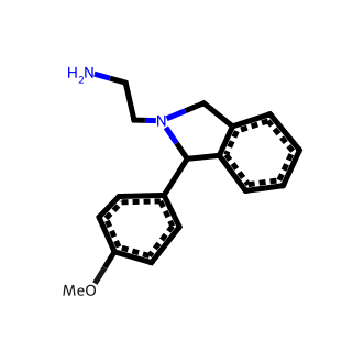 COc1ccc(C2c3ccccc3CN2CCN)cc1